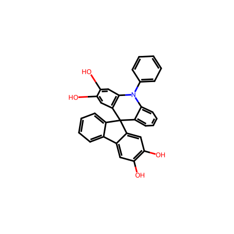 Oc1cc2c(cc1O)C1(c3ccccc3-2)c2ccccc2N(c2ccccc2)c2cc(O)c(O)cc21